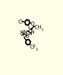 CC(Oc1ccc(Cl)cc1)c1nnc(NS(=O)(=O)Cc2ccc(C(F)(F)F)cc2)s1